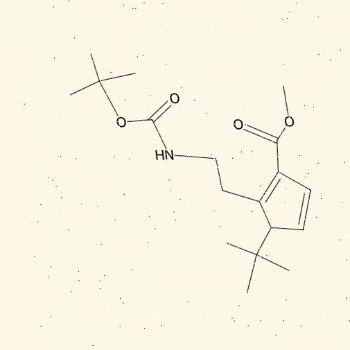 COC(=O)C1=C(CCNC(=O)OC(C)(C)C)C(C(C)(C)C)C=C1